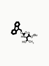 C[C@H](O)[C@@H](NC(=O)OCC1c2ccccc2-c2ccccc21)C(=O)OC(C)(C)C